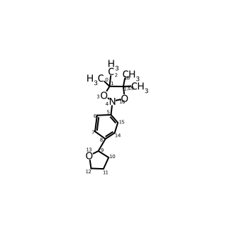 CC1(C)ON(c2ccc(C3CCCO3)cc2)OC1(C)C